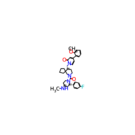 CN[C@@H]1CCN(C(=O)N2CC[C@@H](Cn3ccc(-c4ccccc4OC)cc3=O)C3(CCCC3)C2)[C@H](c2ccc(F)cc2)C1